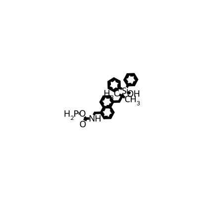 CC(C)(Cc1cccc2c(CNC(=O)OP)cccc12)[Si](O)(c1ccccc1)c1ccccc1